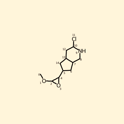 COC1OC1C1CC2CNC(Cl)CC2C1